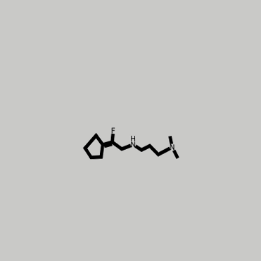 CN(C)CCCNCC(F)=C1CCCC1